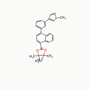 CC1C=CC(c2cccc(-c3ccc(B4OC(C)(C)C(C)(C)O4)c4ccccc34)c2)=C1